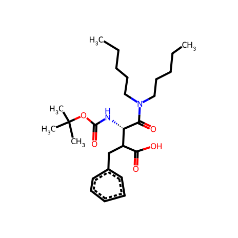 CCCCCN(CCCCC)C(=O)[C@@H](NC(=O)OC(C)(C)C)C(Cc1ccccc1)C(=O)O